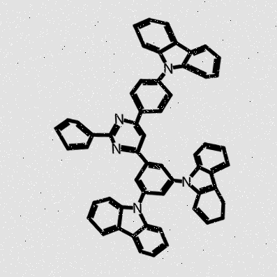 C1=Cc2c(c3ccccc3n2-c2cc(-c3cc(-c4ccc(-n5c6ccccc6c6ccccc65)cc4)nc(-c4ccccc4)n3)cc(-n3c4ccccc4c4ccccc43)c2)CC1